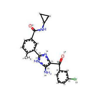 Cc1ccc(C(=O)NC2CC2)cc1-c1nc(C(=O)c2cccc(Br)c2)c(N)[nH]1